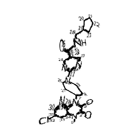 Cn1c(=O)c(=O)n(C2CCN(c3ncc(C(=O)NCC4CCCC4)cn3)CC2)c2ncc(Cl)cc21